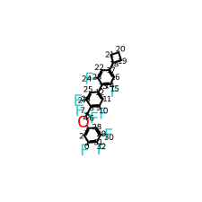 Fc1cc(OC(F)(F)c2c(F)cc(-c3c(F)cc(C4CCC4)cc3F)cc2F)cc(F)c1F